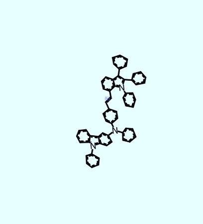 C(=C\c1cccc2c(-c3ccccc3)c(-c3ccccc3)n(-c3ccccc3)c12)/c1ccc(N(c2ccccc2)c2ccc3c(c2)c2ccccc2n3-c2ccccc2)cc1